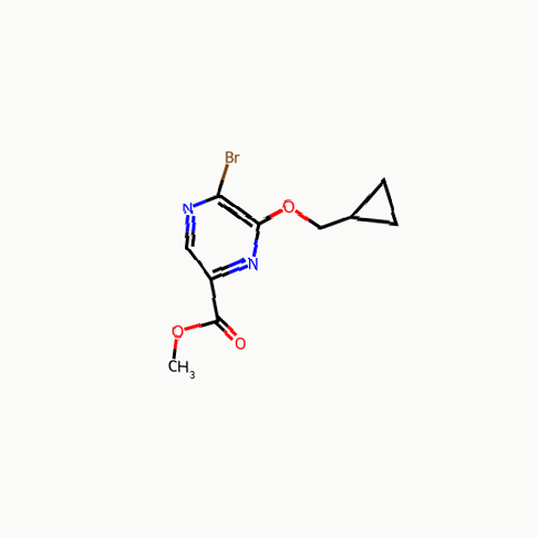 COC(=O)c1cnc(Br)c(OCC2CC2)n1